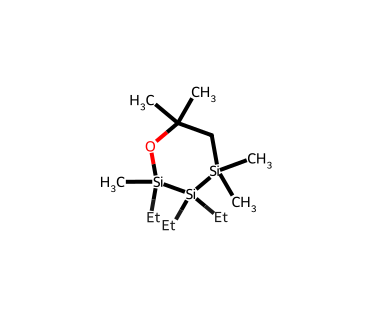 CC[Si]1(C)OC(C)(C)C[Si](C)(C)[Si]1(CC)CC